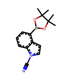 CC1(C)OB(c2cccc3c2ccn3C#N)OC1(C)C